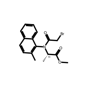 COC(=O)[C@H](C)N(C(=O)CBr)c1c(C)ccc2ccccc12